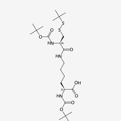 CC(C)(C)OC(=O)N[C@@H](CCCCNC(=O)[C@H](CSSC(C)(C)C)NC(=O)OC(C)(C)C)C(=O)O